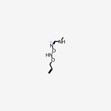 C=CCONO/N=C\NC